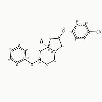 Clc1ccc(OC2C[C@@H]3CN(Cc4ccccc4)CCN3C2)nc1